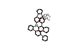 CC1(C)c2ccccc2-c2ccc(N(c3ccccc3-c3ccc(-c4ccccc4)cc3)c3ccc4ccccc4c3-c3ccccc3)cc21